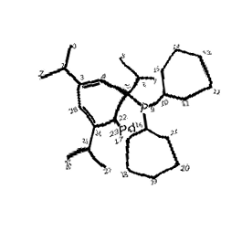 CC(C)C1=CC(C(C)C)(P(C2CCCCC2)C2CCCCC2)[CH]([Pd])C(C(C)C)=C1